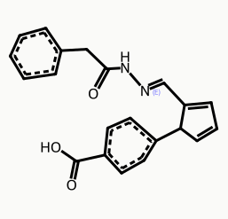 O=C(Cc1ccccc1)N/N=C/C1=CC=CC1c1ccc(C(=O)O)cc1